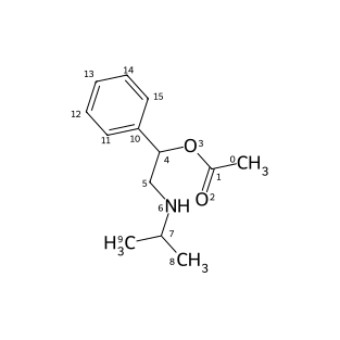 CC(=O)OC(CNC(C)C)c1ccccc1